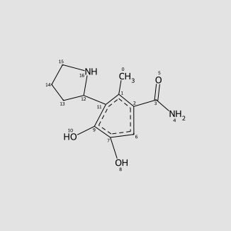 Cc1c(C(N)=O)cc(O)c(O)c1C1CCCN1